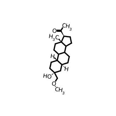 COC[C@@]1(O)CC[C@@H]2C3CC[C@@]4(C)C(CC[C@@H]4C(C)=O)C3CC[C@H]2C1